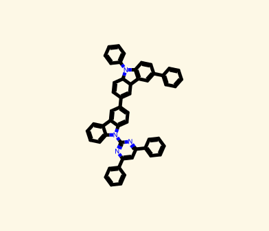 C1=CC2C(C=C1c1ccc3c(c1)c1ccccc1n3-c1nc(-c3ccccc3)cc(-c3ccccc3)n1)c1cc(-c3ccccc3)ccc1N2c1ccccc1